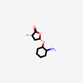 C[C@H]1C[C@@H](OC2CCCCC2N)OC1=O